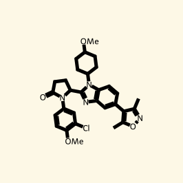 COc1ccc(N2C(=O)CCC2c2nc3cc(-c4c(C)noc4C)ccc3n2C2CCC(OC)CC2)cc1Cl